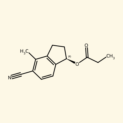 CCC(=O)O[C@@H]1CCc2c1ccc(C#N)c2C